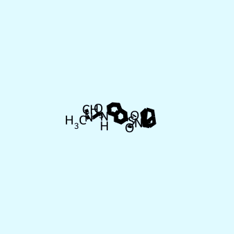 CN(C)CC(=O)Nc1cccc2cc(S(=O)(=O)NC34CC5CC(CC(C5)C3)C4)ccc12